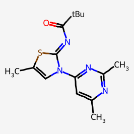 Cc1cc(-n2cc(C)sc2=NC(=O)C(C)(C)C)nc(C)n1